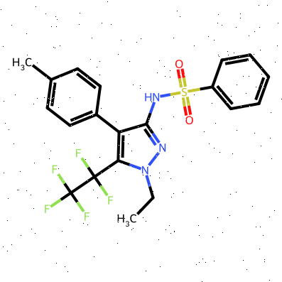 CCn1nc(NS(=O)(=O)c2ccccc2)c(-c2ccc(C)cc2)c1C(F)(F)C(F)(F)F